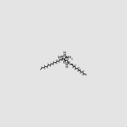 CCCCCCCCCCCCCCCC(O)C(C(=O)CC(O)CCCCCCCCCCCCC)C(N)O